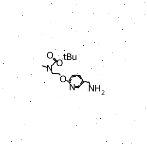 CN(CCOc1ccc(CN)cn1)C(=O)OC(C)(C)C